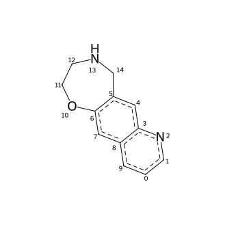 c1cnc2cc3c(cc2c1)OCCNC3